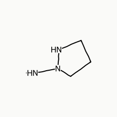 [NH]N1CCCN1